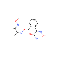 CON=C(C)C(C)=NOCc1ccccc1C(=NOC)C(N)=O